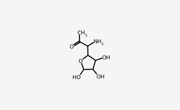 CC(=O)C(N)C1OC(O)C(O)C1O